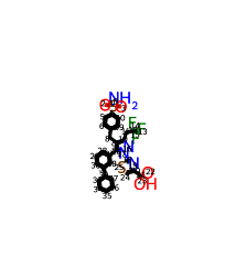 NS(=O)(=O)c1ccc(Cc2c(CC(F)(F)F)nn(-c3nc(C(=O)O)cs3)c2-c2cccc(-c3ccccc3)c2)cc1